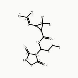 CCCC(OC(=O)C1C(C=C(Cl)Cl)C1(C)C)N1C(=O)CNC1=O